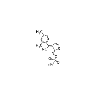 CCCS(=O)(=O)O/N=C1\SC=C\C1=C(\C#N)c1ccc(C)cc1C